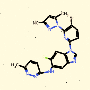 CC(=O)c1ccc(-n2cnc3cc(Nc4ccc(C)nn4)c(F)cc32)nc1-n1nc(C#N)cc1C